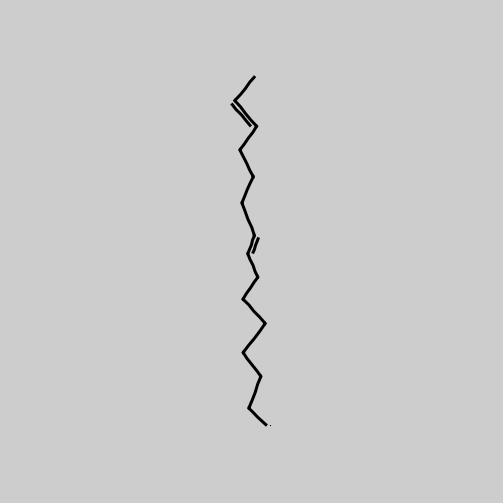 [CH2]CCCCCCC=CCCCC=CC